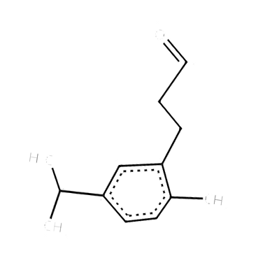 Cc1ccc(C(C)C)cc1CCC=O